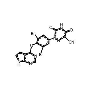 N#Cc1nn(-c2cc(Br)c(Oc3ncnc4[nH]ccc34)c(Br)c2)c(=O)[nH]c1=O